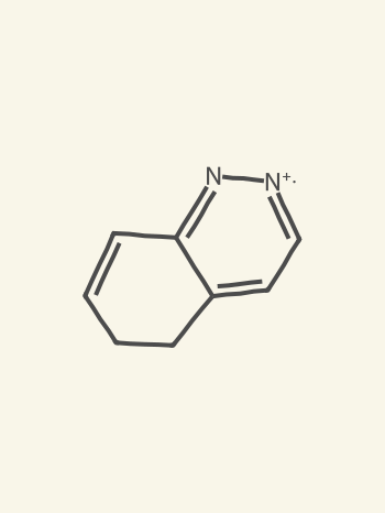 C1=CC2=N[N+]=CC=C2CC1